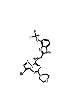 FC(F)(F)Oc1cccc2[nH]c(CNc3nc(N4CCOCC4)nc4c(Br)cnn34)nc12